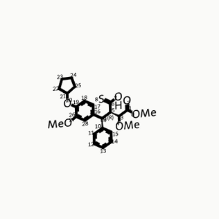 COC(=O)C(OC)[C@H](C(O)=S)[C@@H](c1ccccc1)c1ccc(OC2CCCC2)c(OC)c1